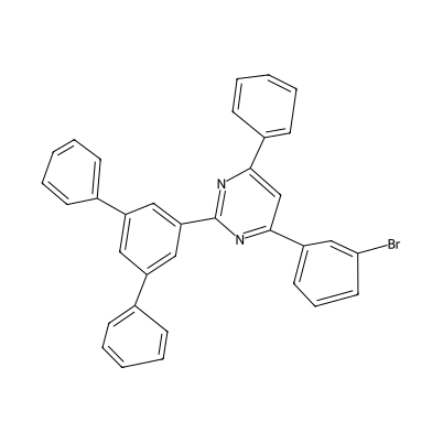 Brc1cccc(-c2cc(-c3ccccc3)nc(-c3cc(-c4ccccc4)cc(-c4ccccc4)c3)n2)c1